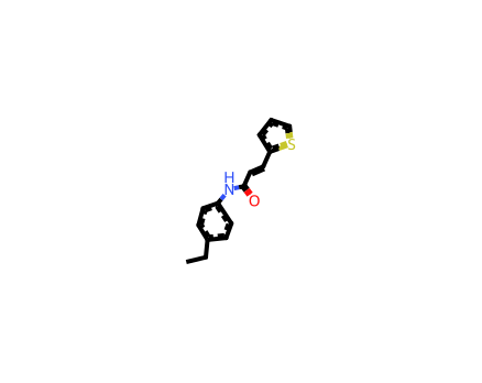 CCc1ccc(NC(=O)C=Cc2cccs2)cc1